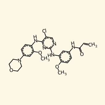 C=CC(=O)Nc1ccc(OC)c(Nc2ncc(Cl)c(Nc3ccc(N4CCOCC4)cc3OC)n2)c1